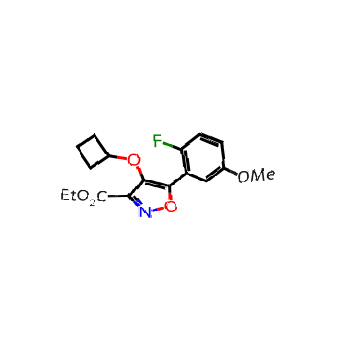 CCOC(=O)c1noc(-c2cc(OC)ccc2F)c1OC1CCC1